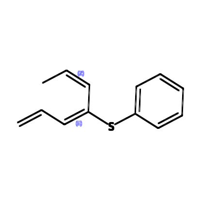 C=C/C=C(\C=C/C)Sc1ccccc1